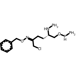 PN[C@@H](CCC(CCl)=NOCc1ccccc1)COPP